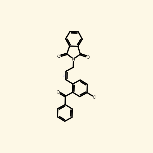 O=C(c1ccccc1)c1cc(Cl)ccc1/C=C\CN1C(=O)c2ccccc2C1=O